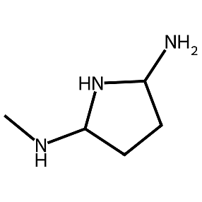 CNC1CCC(N)N1